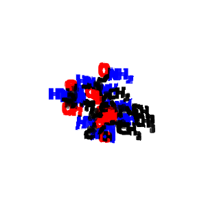 CC(C)CC[C@H](NC(=O)CN(C)C(=O)[C@H](C)NC(=O)[C@H](CCC(N)=O)NC(=O)CNC(=O)[C@@H]1C[C@@H](O)CN1)C(=O)N[C@@H](C)C(=O)NCC(=O)N1CCC[C@H]1C(=O)N[C@@H](CCCCN)C(=O)O